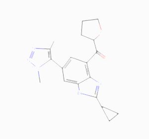 Cc1nnn(C)c1-c1cc(C(=O)C2CCCO2)c2nc(C3CC3)[nH]c2c1